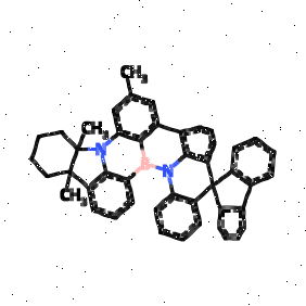 Cc1cc2c3c(c1)N1c4c(cccc4C4(C)CCCCC14C)B3N1c3ccccc3C3(c4ccccc4-c4ccccc43)c3cccc-2c31